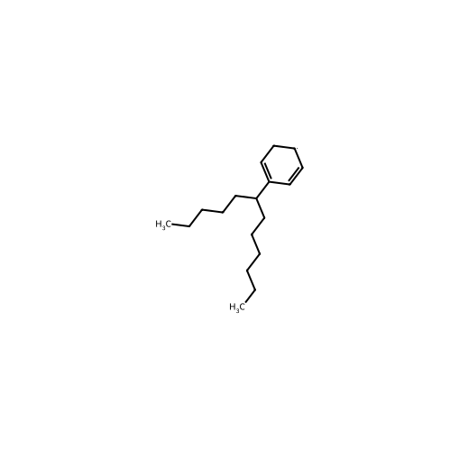 CCCCCCC(CCCCC)C1=CC[CH]C=C1